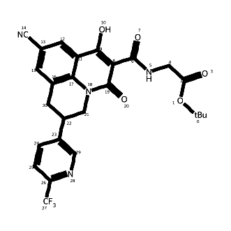 CC(C)(C)OC(=O)CNC(=O)c1c(O)c2cc(C#N)cc3c2n(c1=O)CC(c1ccc(C(F)(F)F)nc1)C3